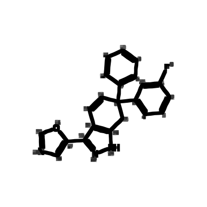 Fc1cccc(C2(c3ccccc3)C=Cc3c(-c4cnco4)n[nH]c3C2)c1